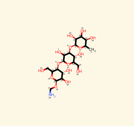 CC1O[C@@H](O[C@@H]2C(O)[C@H](O[C@@H]3C(CO)O[C@H](OCN)C(O)[C@H]3O)OC(CO)[C@H]2O)[C@@H](O)C(O)[C@H]1O